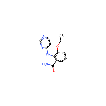 CCOc1cccc(C(N)=O)c1Nc1ccncn1